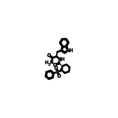 NC(=O)[C@@H](Cc1c[nH]c2ccccc12)NC(=O)[C@@H]1CCCCN1S(=O)(=O)c1ccccc1